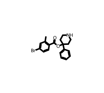 Cc1cc(Br)ccc1C(=O)OC1(c2ccccc2)CCNCC1